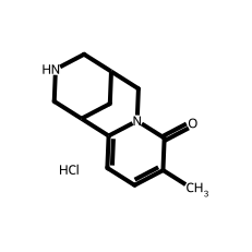 Cc1ccc2n(c1=O)CC1CNCC2C1.Cl